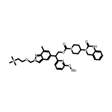 Cc1cc(C(COC(=O)N2CCC(N3Cc4ccccc4NC3=O)CC2)c2cccc(OC(C)(C)C)n2)cc2cn(COCC[Si](C)(C)C)nc12